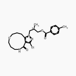 CCc1nn(C[C@@H](C)COC(=O)c2ccc(C)cc2)c2c1C(=O)NCCCOCCC2